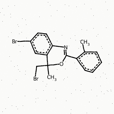 Cc1ccccc1C1=Nc2ccc(Br)cc2C(C)(CBr)O1